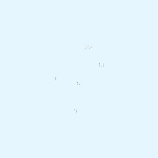 CNC(=N)c1cnc2cnccn12